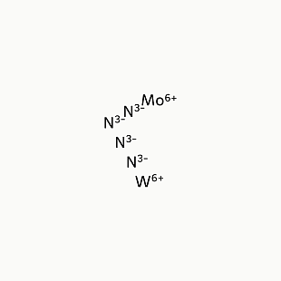 [Mo+6].[N-3].[N-3].[N-3].[N-3].[W+6]